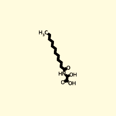 CCCCCCCCCCCC(=O)NC(O)C(=O)O